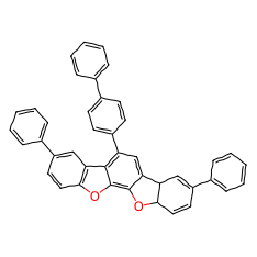 C1=CC2Oc3c(cc(-c4ccc(-c5ccccc5)cc4)c4c3oc3ccc(-c5ccccc5)cc34)C2C=C1c1ccccc1